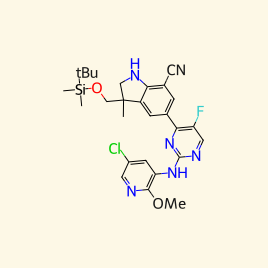 COc1ncc(Cl)cc1Nc1ncc(F)c(-c2cc(C#N)c3c(c2)C(C)(CO[Si](C)(C)C(C)(C)C)CN3)n1